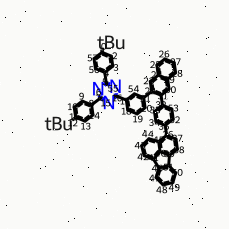 CC(C)(C)c1ccc(-c2nc(-c3ccc(C(C)(C)C)cc3)nc(-c3cccc(-c4cc5ccccc5cc4-c4ccc(-c5ccc6c7c(cccc57)-c5ccccc5-6)cc4)c3)n2)cc1